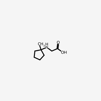 CC1(NCC(=O)O)CCCC1